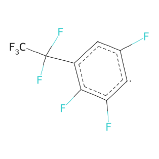 Fc1[c]c(F)c(F)c(C(F)(F)C(F)(F)F)c1